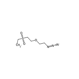 [CH2]CS(=O)(=O)CCOCCN=[N+]=[N-]